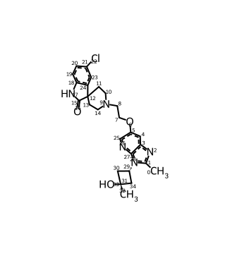 Cc1nc2cc(OCCN3CCC4(CC3)C(=O)Nc3ccc(Cl)cc34)cnc2n1[C@H]1C[C@@](C)(O)C1